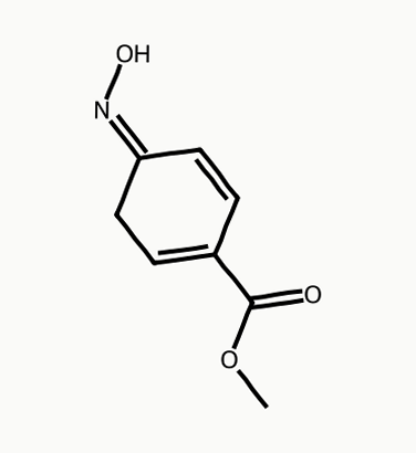 COC(=O)C1=CCC(=NO)C=C1